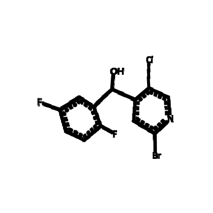 OC(c1cc(F)ccc1F)c1cc(Br)ncc1Cl